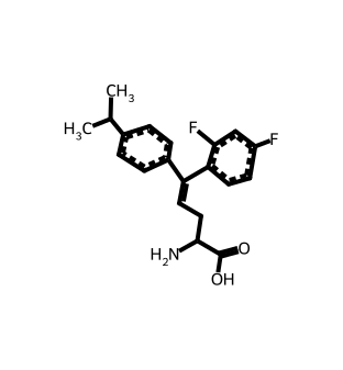 CC(C)c1ccc(C(=CCC(N)C(=O)O)c2ccc(F)cc2F)cc1